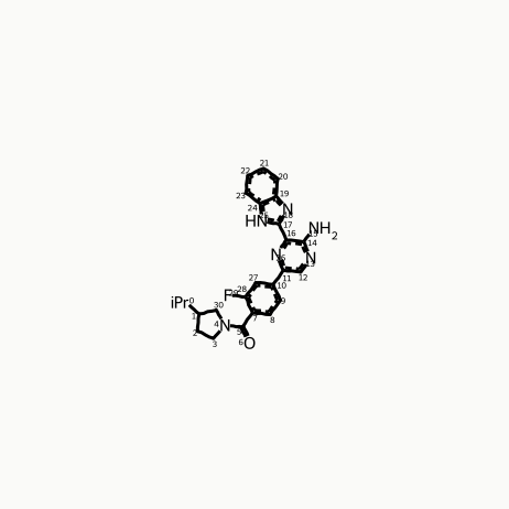 CC(C)C1CCN(C(=O)c2ccc(-c3cnc(N)c(-c4nc5ccccc5[nH]4)n3)cc2F)C1